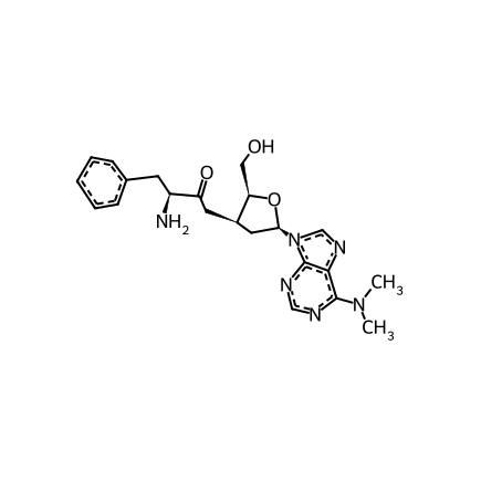 CN(C)c1ncnc2c1ncn2[C@H]1C[C@@H](CC(=O)[C@@H](N)Cc2ccccc2)[C@@H](CO)O1